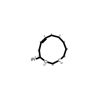 CC(C)C1CC=CCC[CH]CCCCO1